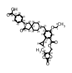 CCOc1cc(C(=O)OCc2oc(=O)oc2C)c(C2CC2)cc1CN1CCC2(CC1)CC(=O)N(c1ccc(C(=O)O)cc1)C2